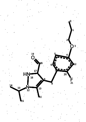 CCCOc1ccc(CC2=C(C)N(C(C)C)NC2C=O)c(F)c1